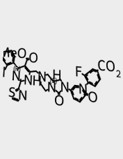 COC(=O)C1=C(CN2CCN3C(=O)N(c4ccc(=O)n(-c5ccc(C(=O)O)cc5F)c4)C[C@@H]3C2)NC(c2nccs2)=N[C@H]1c1ccc(F)cc1Cl